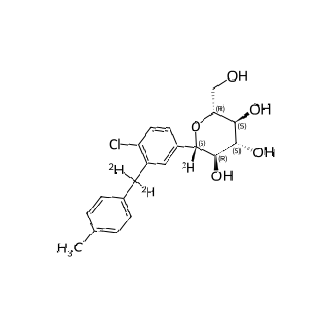 [2H]C([2H])(c1ccc(C)cc1)c1cc([C@]2([2H])O[C@H](CO)[C@@H](O)[C@H](O)[C@H]2O)ccc1Cl